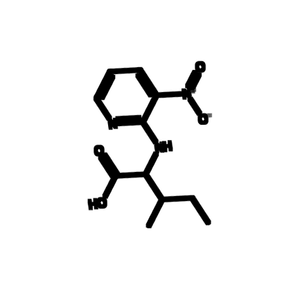 CCC(C)C(Nc1ncccc1[N+](=O)[O-])C(=O)O